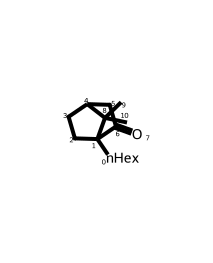 CCCCCCC12CCC(CC1=O)C2(C)C